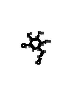 O=C=Nc1cc(Cl)c(F)c(F)c1F